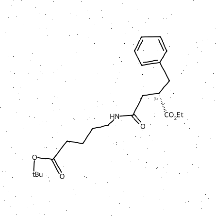 CCOC(=O)[C@H](CC(=O)NCCCCC(=O)OC(C)(C)C)Cc1ccccc1